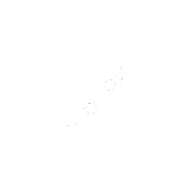 CCCc1ccc2c(c1)CCC(c1ccc(OC(F)(F)F)cc1)C2